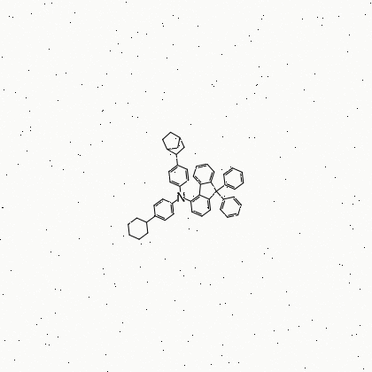 c1ccc(C2(c3ccccc3)c3ccccc3-c3c(N(c4ccc(C5CCCCC5)cc4)c4ccc(C5CC6CCC5C6)cc4)cccc32)cc1